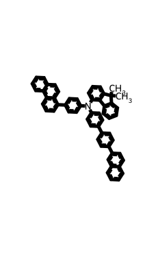 CC1(C)c2ccccc2-c2c(N(c3ccc(-c4ccc(-c5ccc6ccccc6c5)cc4)cc3)c3ccc(-c4cccc5c4ccc4ccccc45)cc3)cccc21